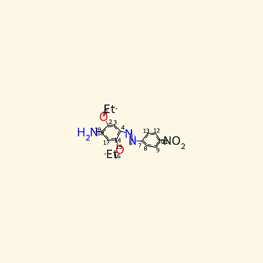 [CH2][CH]Oc1cc(/N=N/c2ccc([N+](=O)[O-])cc2)c(O[CH][CH2])cc1N